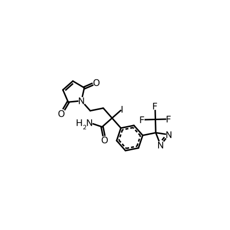 NC(=O)C(I)(CCN1C(=O)C=CC1=O)c1cccc(C2(C(F)(F)F)N=N2)c1